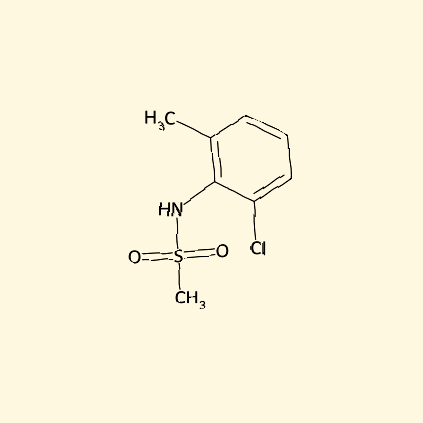 Cc1cccc(Cl)c1NS(C)(=O)=O